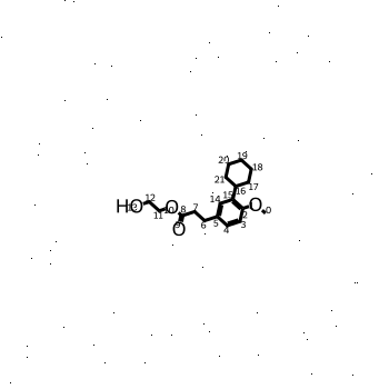 COc1ccc(CCC(=O)OCCO)cc1C1CCCCC1